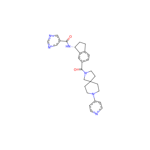 O=C(N[C@@H]1CCc2ccc(C(=O)N3CCC4(CCN(c5ccncc5)CC4)C3)cc21)c1cncnc1